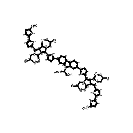 CCCCCCCCC(CCCCCCCC)n1c2cc(-c3ccc(C4=C5C(=O)N(CC(CC)CCCC)C(c6ccc(-c7ccc(C=O)s7)s6)=C5C(=O)N4CC(CC)CCCC)s3)ccc2c2ccc(-c3ccc(C4=C5C(=O)N(CC(CC)CCCC)C(c6ccc(-c7ccc(C=O)s7)s6)=C5C(=O)N4CC(CC)CCCC)s3)cc21